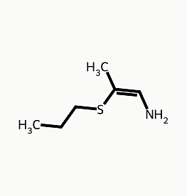 CCCS/C(C)=C\N